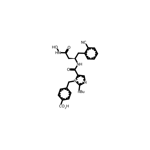 CCCCc1ncc(C(=O)N[C@@H](CC(=O)NO)Cc2ccccc2C#N)n1Cc1ccc(C(=O)O)cc1